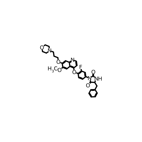 COc1cc2c(Oc3ccc(N4C(=O)NC(Cc5ccccc5)C4=O)cc3F)ccnc2cc1OCCCN1CCOCC1